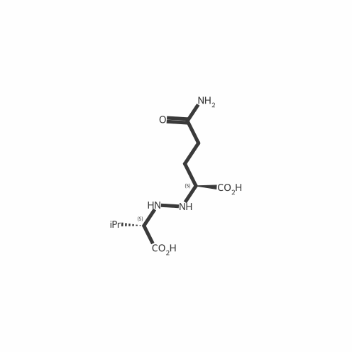 CC(C)[C@H](NN[C@@H](CCC(N)=O)C(=O)O)C(=O)O